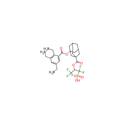 BCc1cc(CB)c(CB)c(C(=O)OC23CC4CC(C2)CC(C(=O)OC(C(F)(F)F)C(F)(F)S(=O)(=O)O)(C4)C3)c1